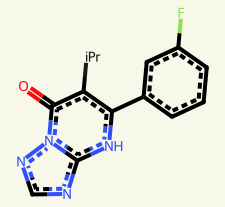 CC(C)c1c(-c2cccc(F)c2)[nH]c2ncnn2c1=O